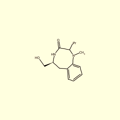 CC(C)C1C(=O)N[C@H](CO)Cc2ccccc2N1C